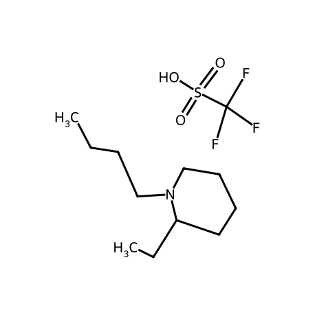 CCCCN1CCCCC1CC.O=S(=O)(O)C(F)(F)F